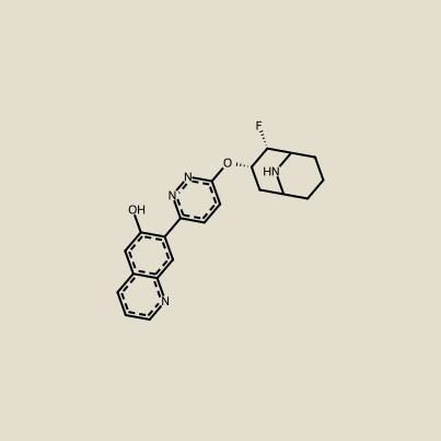 Oc1cc2cccnc2cc1-c1ccc(O[C@H]2CC3CCCC(N3)[C@H]2F)nn1